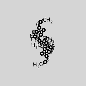 C=Cc1ccc(Oc2ccc(C3(c4ccc(F)cc4)c4ccccc4-c4ccc(N(c5ccc6c(c5)C5(CC6(C)C)CC(C)(C)c6ccc(N(c7ccc8c(c7)C(c7ccc(F)cc7)(c7ccc(Oc9ccc(C=C)cc9)cc7)c7ccccc7-8)c7c(F)c(F)c(F)c(F)c7F)cc65)c5c(F)c(F)c(F)c(F)c5F)cc43)cc2)cc1